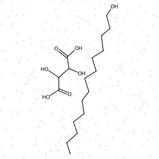 CCCCCCCCCCCCCCO.O=C(O)C(O)C(O)C(=O)O